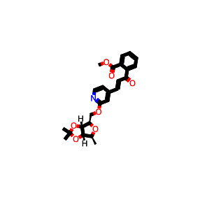 COC(=O)c1ccccc1C(=O)/C=C/c1ccnc(OC[C@H]2O[C@@H](C)[C@@H]3OC(C)(C)O[C@@H]32)c1